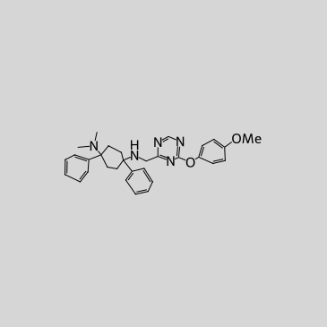 COc1ccc(Oc2ncnc(CNC3(c4ccccc4)CCC(c4ccccc4)(N(C)C)CC3)n2)cc1